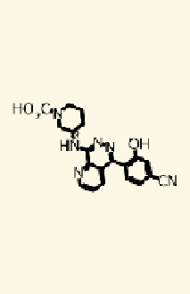 N#Cc1ccc(-c2nnc(N[C@@H]3CCCN(C(=O)O)C3)c3ncccc23)c(O)c1